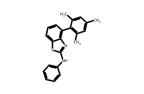 Cc1cc(C)c(-c2cccc3sc(Nc4ccccc4)nc23)c(C)c1